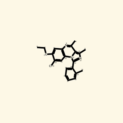 CCOc1cc2nc(C)c3c(C)nc(-c4ccccc4C)n3c2cc1Cl